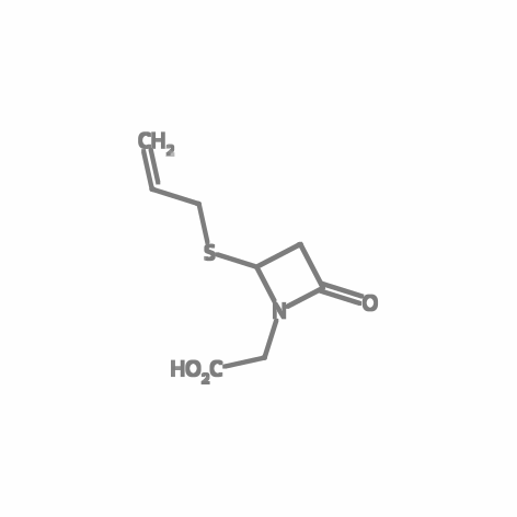 C=CCSC1CC(=O)N1CC(=O)O